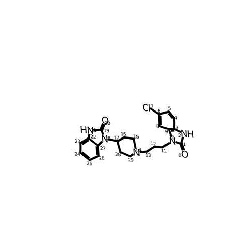 O=c1[nH]c2ccc(Cl)cc2n1CCCN1CCC(n2c(=O)[nH]c3ccccc32)CC1